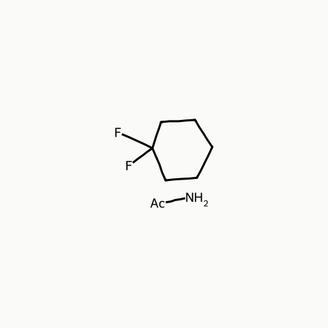 CC(N)=O.FC1(F)CCCCC1